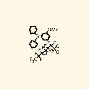 COc1cccc([S+](c2ccccc2)c2ccccc2)c1.O=S(=O)([O-])C(F)(F)C(F)(F)C(F)(F)C(F)(F)C(F)(F)C(F)(F)F